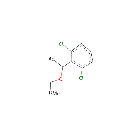 COCOC(C(C)=O)c1c(Cl)cccc1Cl